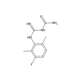 Cc1ccc(F)c(C)c1NC(=N)NC(N)=O